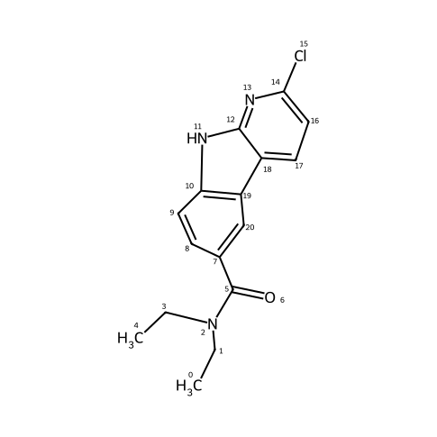 CCN(CC)C(=O)c1ccc2[nH]c3nc(Cl)ccc3c2c1